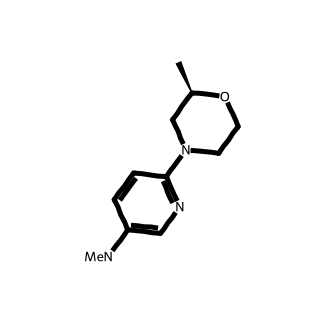 CNc1ccc(N2CCO[C@H](C)C2)nc1